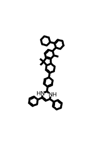 CC1C2=C(C=CC1C1CCCC=C1C1CCCCC1)C(C)(C)C1C=C(C3C=CC(C4NC(C5C=CC=CC5)=CC(C5=CCCC=C5)N4)=CC3)CCC21